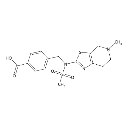 CN1CCc2nc(N(Cc3ccc(C(=O)O)cc3)S(C)(=O)=O)sc2C1